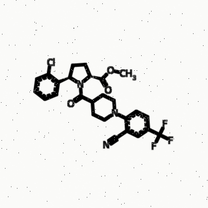 COC(=O)[C@@H]1CC[C@H](c2ccccc2Cl)N1C(=O)C1CCN(c2ccc(C(F)(F)F)cc2C#N)CC1